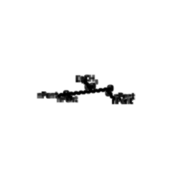 CCCCCC(CCCCC)CCOC(=O)CCCCCCCCC(CCCCCCC(=O)OCCC(CCCCC)CCCCC)C(=O)OCCN(C)CC